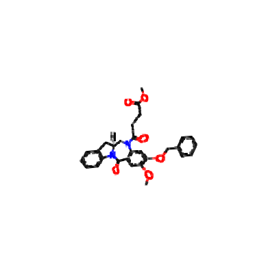 COC(=O)CCC(=O)N1C[C@@H]2Cc3ccccc3N2C(=O)c2cc(OC)c(OCc3ccccc3)cc21